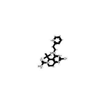 CC(C)(C)C1c2c(nc(Cl)nc2NCCc2ccccn2)CCN1C(=O)O